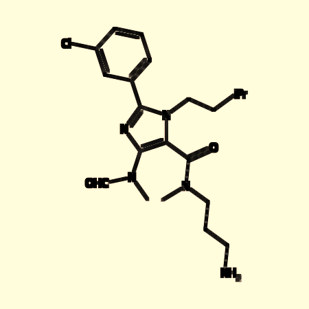 CC(C)CCn1c(-c2cccc(Cl)c2)nc(N(C)C=O)c1C(=O)N(C)CCCN